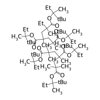 CCC(C)(CC(C)(CC(C)(CC(C)(CC(C)(CC(C)(C)C(=O)OC(C)(CC)C(C)(C)C)C(=O)OC(C)(CC)C(C)(C)C)C(=O)OC(C)(CC)C(C)(C)C)C(=O)OC(C)(CC)C(C)(C)C)C(=O)OC(C)(CC)C(C)(C)C)C(=O)OC(C)(CC)C(C)(C)C